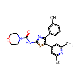 CCc1cc(-c2sc(NC(=O)N3CCOCC3)nc2-c2cccc(C#N)c2)cc(C)n1